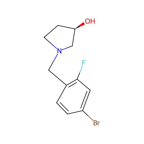 O[C@@H]1CCN(Cc2ccc(Br)cc2F)C1